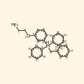 [18F]CCOc1cccc([PH](Cc2ccccc2)(c2ccccc2)c2ccccc2)c1